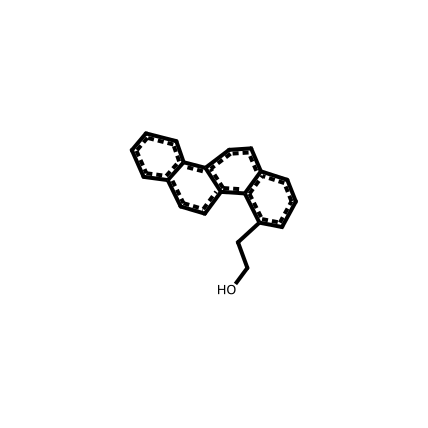 OCCc1cccc2ccc3c4ccccc4ccc3c12